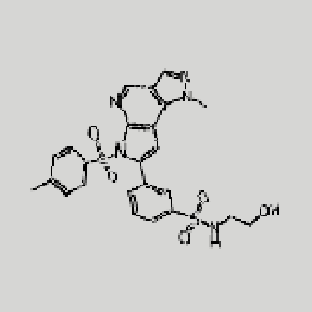 Cc1ccc(S(=O)(=O)n2c(-c3cccc(S(=O)(=O)NCCO)c3)cc3c4c(cnc32)cnn4C)cc1